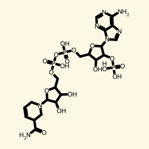 NC(=O)C1C=CCN(C2OC(COP(=O)(O)OP(=O)(O)OCC3OC(n4cnc5c(N)ncnc54)C(OP(=O)(O)O)C3O)C(O)C2O)C1